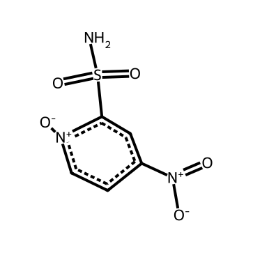 NS(=O)(=O)c1cc([N+](=O)[O-])cc[n+]1[O-]